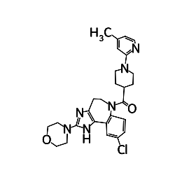 Cc1ccnc(N2CCC(C(=O)N3CCc4nc(N5CCOCC5)[nH]c4-c4cc(Cl)ccc43)CC2)c1